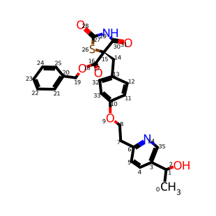 CC(O)c1ccc(CCOc2ccc(C[C@@]3(C(=O)OCc4ccccc4)SC(=O)NC3=O)cc2)nc1